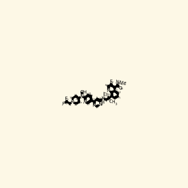 CC[C@@](C)(CNc1cc(-c2ccc(N(C)C3CCN(CC(F)F)CC3)nc2)ncn1)c1cccc2c(C(=O)NC)c(F)cnc12